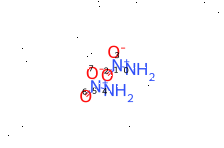 N[N+](=O)[O-].N[N+](=O)[O-]